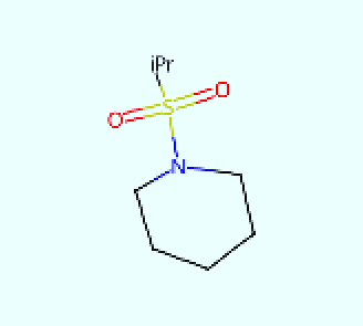 CC(C)S(=O)(=O)N1CCCCC1